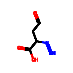 N=NC(CC=O)C(=O)O